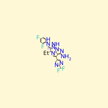 CCC(/C(=C/Nc1ccc(F)cc1F)N=N)n1cc(-c2cnc(C(F)F)nc2)c2c(N)ncnc21